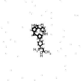 C[C@H](O)CN(C)C1CCN(c2cc(Nc3ncc(Cl)c(-c4c[nH]c5ccccc45)n3)cc(C3CC3)c2)CC1